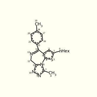 CCCCCCc1cc2c(s1)-n1c(C)nnc1CN=C2c1ccc(C)cc1